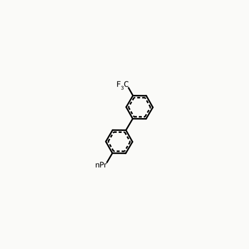 [CH2]CCc1ccc(-c2cccc(C(F)(F)F)c2)cc1